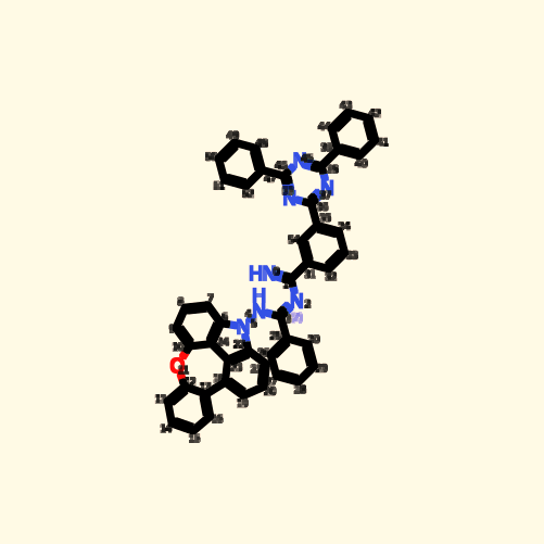 N=C(/N=C(\Nn1c2cccc3oc4ccccc4c4cccc1c4c32)c1ccccc1)c1cccc(-c2nc(-c3ccccc3)nc(-c3ccccc3)n2)c1